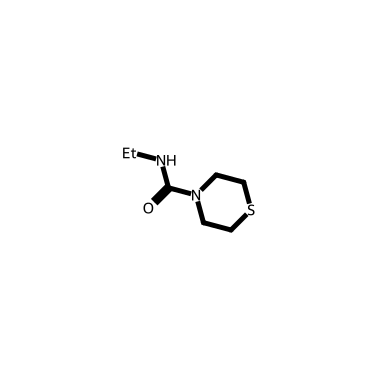 CCNC(=O)N1CCSCC1